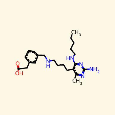 CCCCCNc1nc(N)nc(C)c1CCCCNCc1cccc(CC(=O)O)c1